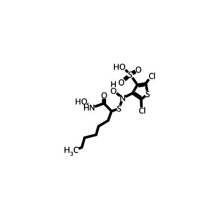 CCCCCCC(SN(O)c1c(Cl)sc(Cl)c1S(=O)(=O)O)C(=O)NO